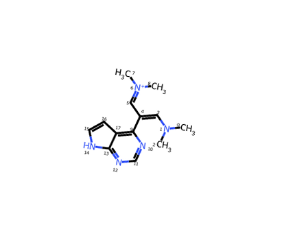 CN(C)/C=C(/C=[N+](C)C)c1ncnc2[nH]ccc12